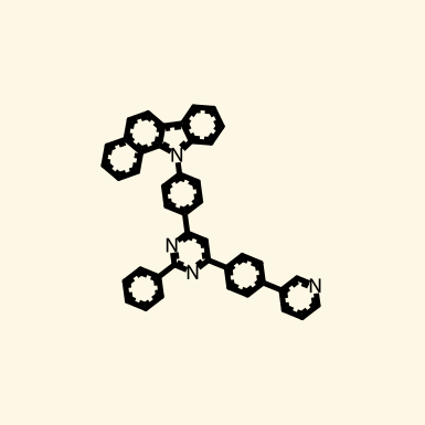 c1ccc(-c2nc(-c3ccc(-c4cccnc4)cc3)cc(-c3ccc(-n4c5ccccc5c5ccc6ccccc6c54)cc3)n2)cc1